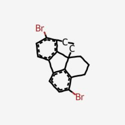 Brc1ccc2c3c1CCCC31CCCc3c(Br)ccc-2c31